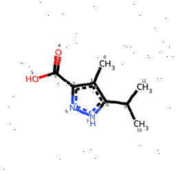 Cc1c(C(=O)O)n[nH]c1C(C)C